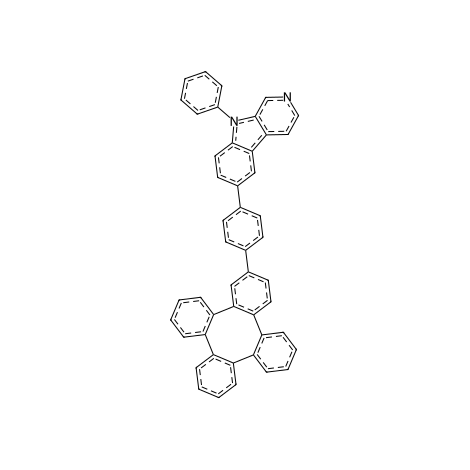 c1ccc(-n2c3ccc(-c4ccc(-c5ccc6c(c5)-c5ccccc5-c5ccccc5-c5ccccc5-6)cc4)cc3c3ccncc32)cc1